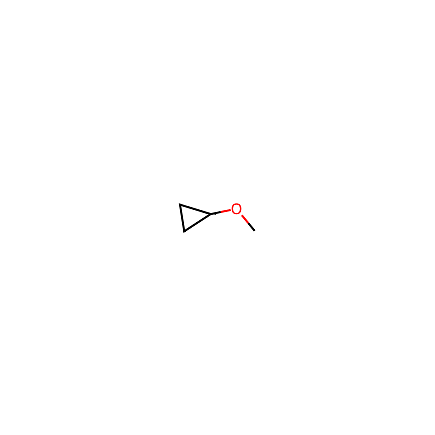 CO[C]1CC1